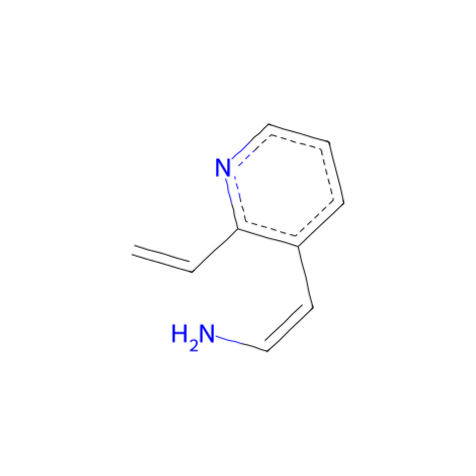 C=Cc1ncccc1/C=C\N